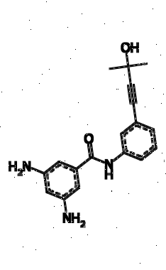 CC(C)(O)C#Cc1cccc(NC(=O)c2cc(N)cc(N)c2)c1